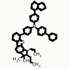 C/C=C\[C@@H]1c2c(ccc3c2sc2c(-c4ccc(N(c5ccc(-c6ccccc6)cc5)c5ccc(-c6cccc7ccccc67)cc5)cc4)cccc23)C(C)(C)C1CCC